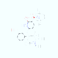 Cc1ccc(O)cc1[C@]12CCN(C)[C@H](C)[C@@H]1Cc1cc(C(=O)N3[C@@H]4CC[C@H]3C[C@@H](O)C4)c(=O)[nH]c1C2